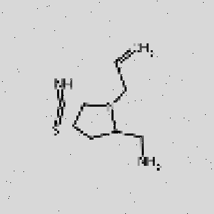 C=CCN1CCCC1CN.N=C=S